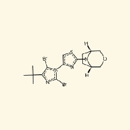 CC(C)(C)c1nc(Br)n(-c2csc(N3[C@@H]4CC[C@H]3COC4)n2)c1Br